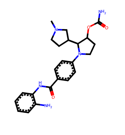 CN1CCC(C2C(OC(N)=O)CCN2c2ccc(C(=O)Nc3ccccc3N)cc2)C1